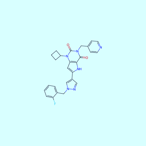 O=c1c2[nH]c(-c3cnn(Cc4ccccc4F)c3)cc2n(C2CCC2)c(=O)n1Cc1ccncc1